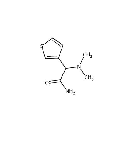 CN(C)C(C(N)=O)c1ccsc1